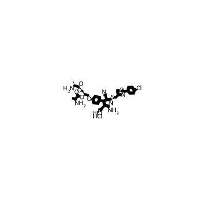 CC(N)C(=O)O[C@@H](COC(=O)[C@@H](C)N)COc1ccc(-c2c(C#N)c(N)nc(SCc3coc(-c4ccc(Cl)cc4)n3)c2C#N)cc1.Cl.Cl